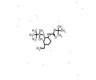 CC(C)(C)OC(=O)NC1CCC(CN)CC1O[Si](C)(C)C(C)(C)C